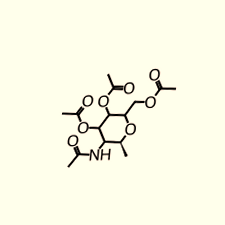 CC(=O)NC1C(OC(C)=O)C(OC(C)=O)C(COC(C)=O)O[C@H]1C